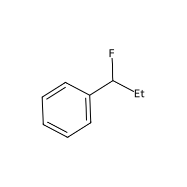 CCC(F)c1ccccc1